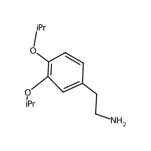 CC(C)Oc1ccc(CCN)cc1OC(C)C